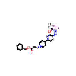 CC1(P)N=Nc2ccc(-c3cc[n+](CCC(=O)OCc4ccccc4)cc3)nc2O1